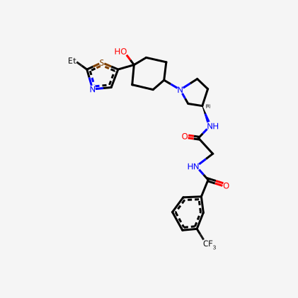 CCc1ncc(C2(O)CCC(N3CC[C@@H](NC(=O)CNC(=O)c4cccc(C(F)(F)F)c4)C3)CC2)s1